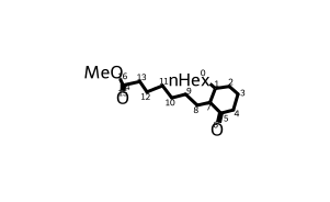 CCCCCCC1CCCC(=O)C1CCCCCCC(=O)OC